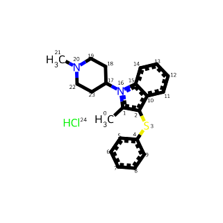 Cc1c(Sc2ccccc2)c2ccccc2n1C1CCN(C)CC1.Cl